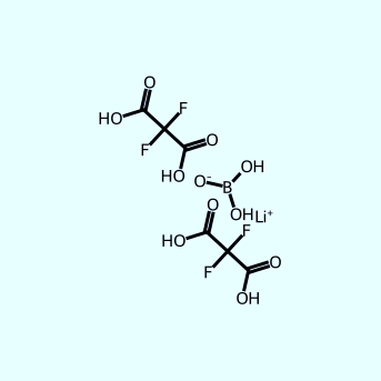 O=C(O)C(F)(F)C(=O)O.O=C(O)C(F)(F)C(=O)O.[Li+].[O-]B(O)O